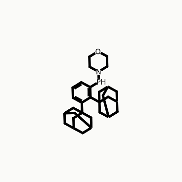 c1cc(PN2CCOCC2)c(C23CC4CC(CC(C4)C2)C3)c(C23CC4CC(CC(C4)C2)C3)c1